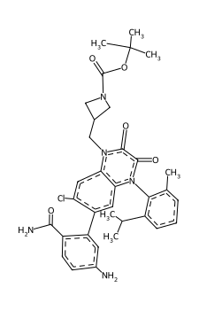 Cc1cccc(C(C)C)c1-n1c(=O)c(=O)n(CC2CN(C(=O)OC(C)(C)C)C2)c2cc(Cl)c(-c3cc(N)ccc3C(N)=O)cc21